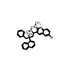 COc1nc2ccc(Br)cc2cc1C(CC(O)(Cc1ccccc1)c1cccc2ccccc12)N(C)C